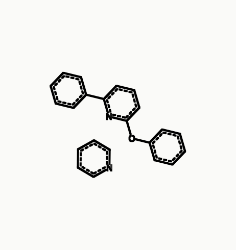 c1ccc(Oc2cccc(-c3ccccc3)n2)cc1.c1ccncc1